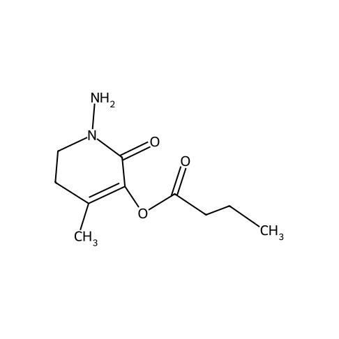 CCCC(=O)OC1=C(C)CCN(N)C1=O